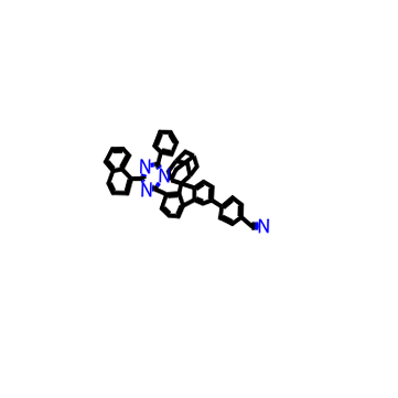 N#Cc1ccc(-c2ccc3c(c2)-c2cccc(-c4nc(-c5ccccc5)nc(-c5cccc6ccccc56)n4)c2C32C3CC4CC(C3)CC2C4)cc1